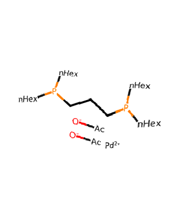 CC(=O)[O-].CC(=O)[O-].CCCCCCP(CCCCCC)CCCP(CCCCCC)CCCCCC.[Pd+2]